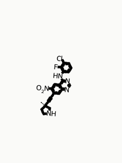 C[C@@]1(C#Cc2cc3ncnc(Nc4cccc(Cl)c4F)c3cc2[N+](=O)[O-])CCNC1